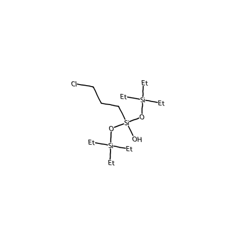 CC[Si](CC)(CC)O[Si](O)(CCCCl)O[Si](CC)(CC)CC